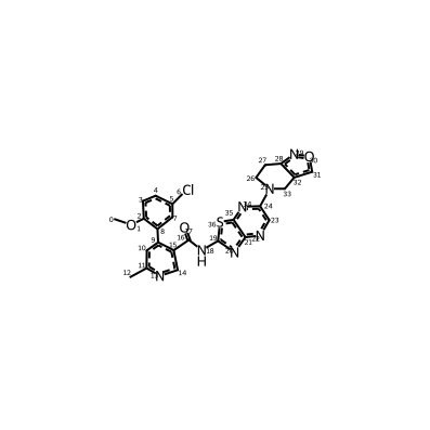 COc1ccc(Cl)cc1-c1cc(C)ncc1C(=O)Nc1nc2ncc(N3CCc4nocc4C3)nc2s1